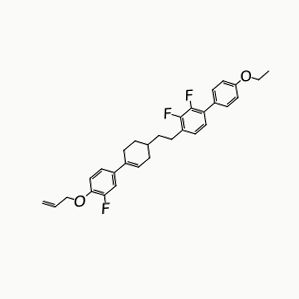 C=CCOc1ccc(C2=CCC(CCc3ccc(-c4ccc(OCC)cc4)c(F)c3F)CC2)cc1F